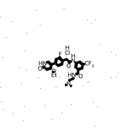 CCOc1cc(=O)[nH]cc1-c1ccc(CC(=O)Nc2cc(C(=O)NCCN(C)C)cc(C(F)(F)F)c2)c(F)c1.Cl